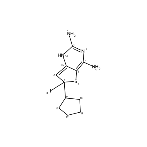 NC1=NC(N)=C2SC(I)(C3CCCC3)C=C2N1